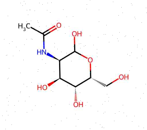 CC(=O)N[C@H]1C(O)O[C@H](CO)[C@H](O)[C@H]1O